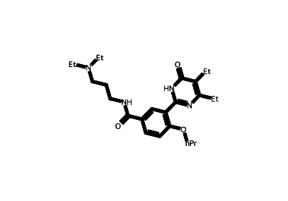 CCCOc1ccc(C(=O)NCCCN(CC)CC)cc1-c1nc(CC)c(CC)c(=O)[nH]1